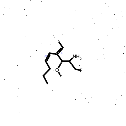 C/C=C(\C=C/CCC)C(OC)C(N)CF